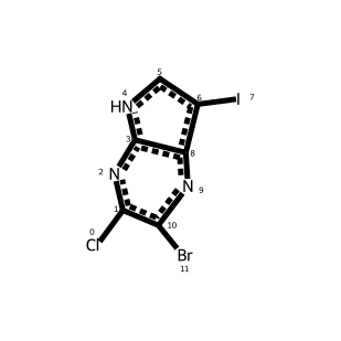 Clc1nc2[nH]cc(I)c2nc1Br